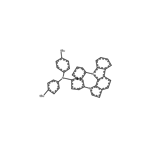 CC(C)(C)c1ccc(N(c2ccc(-n3ccc4ccc5c6ccccc6n(-c6ccccc6)c5c43)cc2)c2ccc(C(C)(C)C)cc2)cc1